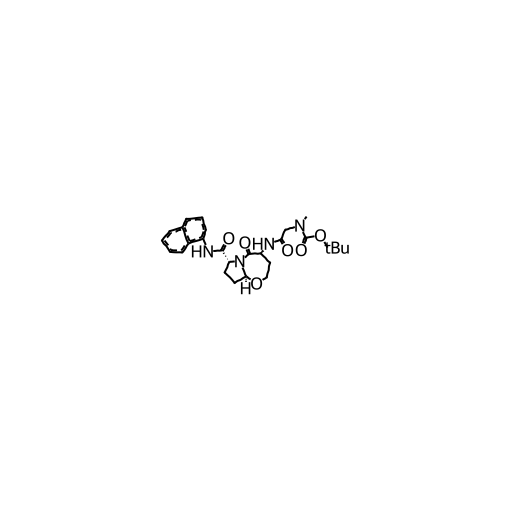 CN(CC(=O)N[C@H]1CCO[C@H]2CC[C@H](C(=O)Nc3cccc4ccccc34)N2C1=O)C(=O)OC(C)(C)C